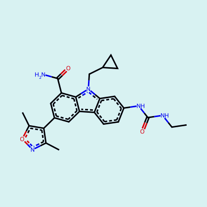 CCNC(=O)Nc1ccc2c3cc(-c4c(C)noc4C)cc(C(N)=O)c3n(CC3CC3)c2c1